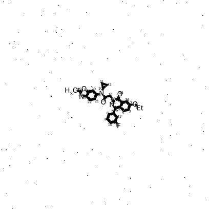 CCOc1ccc2c(-c3cccc(F)c3)nn(CC(=O)N(c3ccc4nc(C)oc4c3)C3CC3)c(=O)c2c1